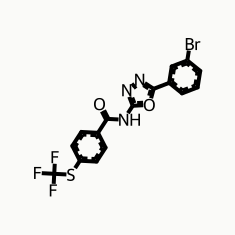 O=C(Nc1nnc(-c2cccc(Br)c2)o1)c1ccc(SC(F)(F)F)cc1